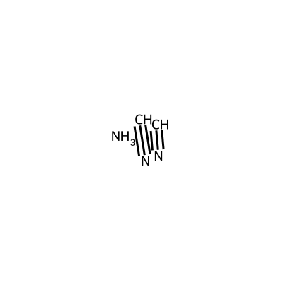 C#N.C#N.N